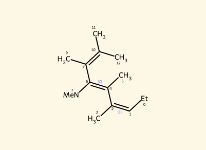 CC/C=C(C)\C(C)=C(/NC)C(C)=C(C)C